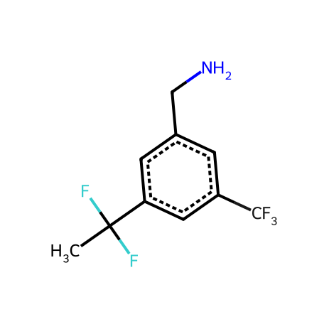 CC(F)(F)c1cc(CN)cc(C(F)(F)F)c1